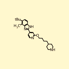 Cc1c(C(C)(C)C)ccc2[nH]c(-c3ccnc(OCCCCC4CCNCC4)c3)nc12